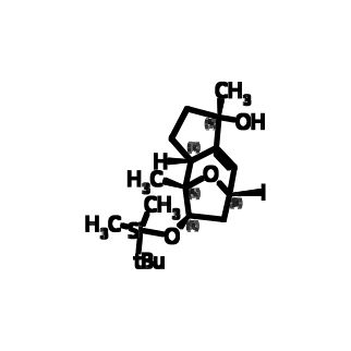 CC(C)(C)[Si](C)(C)O[C@@H]1C[C@@]2(I)C=C3[C@@H](CC[C@]3(C)O)[C@]1(C)O2